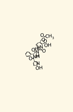 CC(=O)OCC1=C(C(=O)O)N2C(=O)[C@H](NC(=O)C(NC(=O)c3ccc(O)nc3)c3ccccc3)[C@H]2SC1